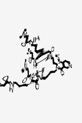 CSSc1ccncc1C(=O)N(CCCNC(=O)[C@H](CCCCNC(=O)CN(C)C)NC(=O)CN(C)C)CCCNC(=O)[C@H](CCCCNC(=O)CN(C)C)NC(=O)CN(C)C